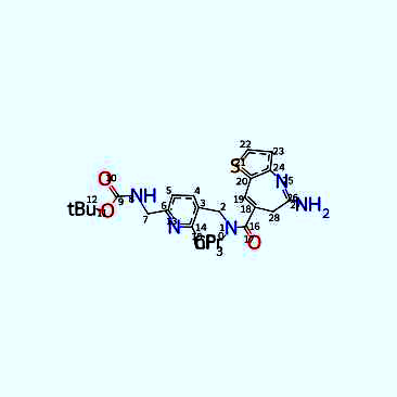 CCCN(Cc1ccc(CNC(=O)OC(C)(C)C)nc1C(F)(F)F)C(=O)C1=Cc2sccc2N=C(N)C1